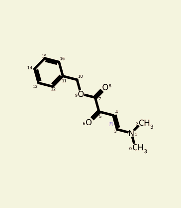 CN(C)/C=C/C(=O)C(=O)OCc1ccccc1